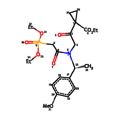 CCOC(=O)C1(C(=O)CN(C(=O)CP(=O)(OCC)OCC)[C@H](C)c2ccc(OC)cc2)CC1